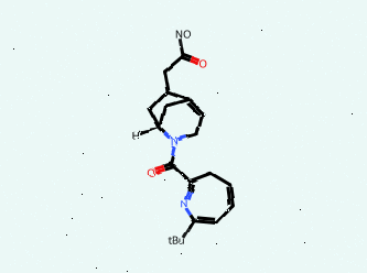 CC(C)(C)C1=CC=CCC(C(=O)N2CC=C3C[C@H]2CC3CC(=O)N=O)=N1